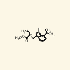 C=C(C)c1cccc2c(C[C@H](C[SiH3])C(=O)OC)c[nH]c12